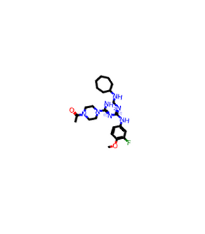 COc1ccc(NC(=N/CNC2CCCCCC2)/N=C(\N)N2CCN(C(C)=O)CC2)cc1F